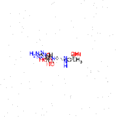 CC(CO)(CO)c1ccc2[nH]c(CCC3CC(N4C[C@H]5O[C@@H](n6cnc7c(N)ncnc76)[C@H](O)[C@@H]5OC4CO)C3)nc2c1